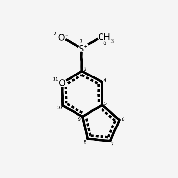 C[S+]([O-])c1cc2cccc-2co1